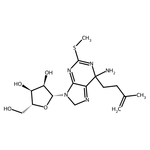 C=C(C)CCC1(N)N=C(SC)N=C2C1=NCN2[C@@H]1O[C@H](CO)[C@@H](O)[C@H]1O